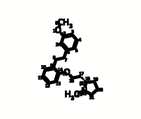 COc1cccc(CCc2ccccc2OCC[C@@H]2CCCN2C)c1